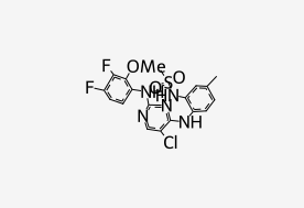 COc1c(Nc2ncc(Cl)c(Nc3ccc(C)cc3NS(C)(=O)=O)n2)ccc(F)c1F